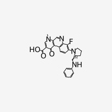 Cn1cc(C(=O)O)c(=O)c2c3ccc(N4CCC[C@H]4CNc4ccccc4)c(F)c3ncc21